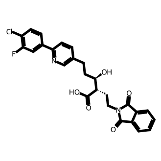 O=C(O)[C@@H](CCN1C(=O)c2ccccc2C1=O)[C@H](O)CCc1ccc(-c2ccc(Cl)c(F)c2)nc1